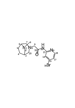 CN1CC2CCC1CN(CC(=O)Nc1cc(Br)ccn1)C2